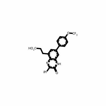 CC(C)c1nc2c(CCC(=O)O)cc(-c3ccc(OC(F)(F)F)cc3)cc2[nH]c1=O